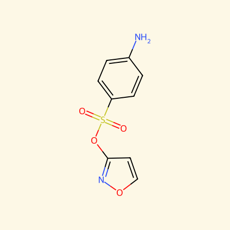 Nc1ccc(S(=O)(=O)Oc2ccon2)cc1